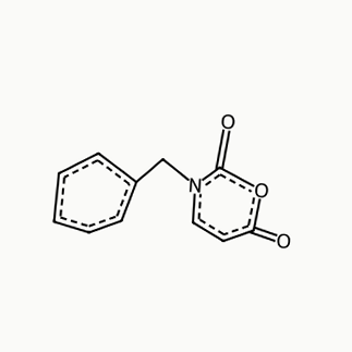 O=c1ccn(Cc2ccccc2)c(=O)o1